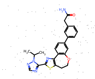 CC(C)n1ncnc1-c1nc2c(s1)CCOc1cc(-c3cccc(CC(N)=O)c3)ccc1-2